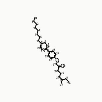 CCCCCCCCc1cnc(-c2ccc(OCC(=O)CCCC(C)CC)cc2)nc1